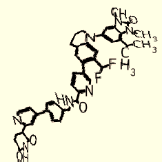 CC(C)c1cc(N2CCCc3cc(-c4ccc(C(=O)NCc5ccc(-c6ccnc(C7CCC(=O)NC7=O)c6)cc5)nc4)c(C(F)F)cc32)cc2c1n(C)c(=O)n2C